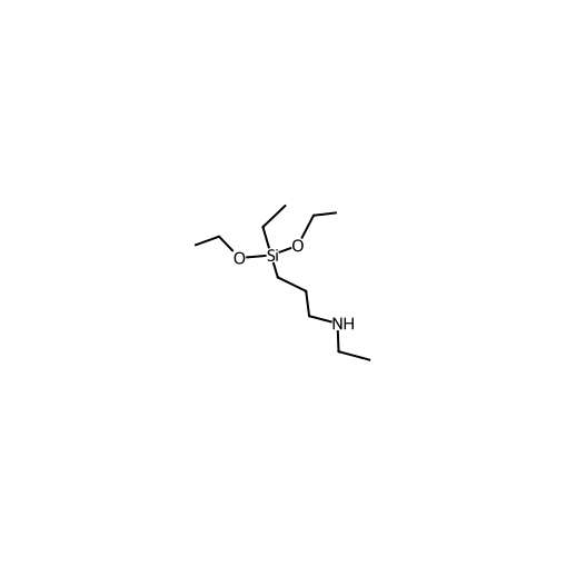 CCNCCC[Si](CC)(OCC)OCC